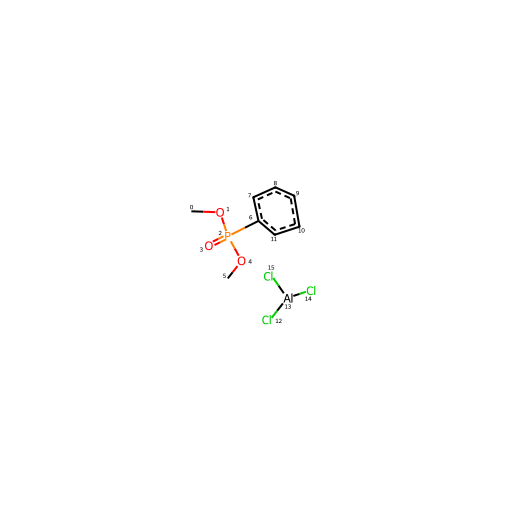 COP(=O)(OC)c1ccccc1.[Cl][Al]([Cl])[Cl]